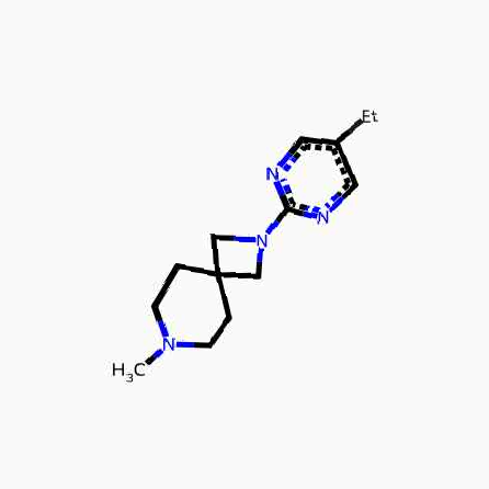 CCc1cnc(N2CC3(CCN(C)CC3)C2)nc1